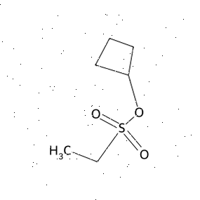 CCS(=O)(=O)OC1CCC1